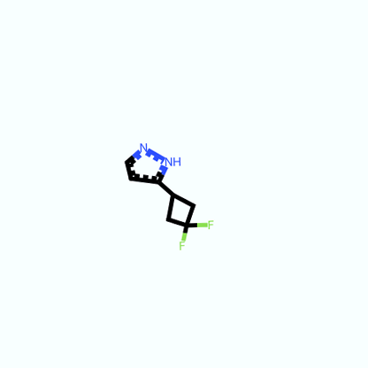 FC1(F)CC(c2ccn[nH]2)C1